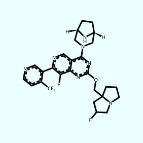 Fc1c(-c2cnccc2C(F)(F)F)ncc2c(N3C[C@H]4CC[C@@H](C3)N4)nc(OCC34CCCN3CC(F)C4)nc12